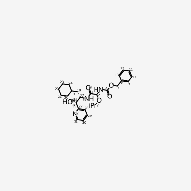 CC(C)OC(NC(=O)OCc1ccccc1)C(=O)N[C@@H](CC1CCCCC1)[C@@H](O)c1ccccn1